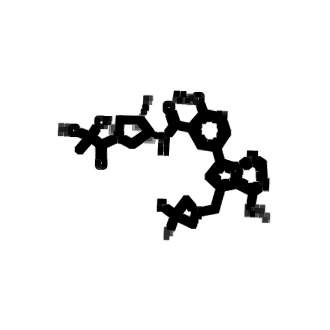 COc1ncc(-c2cc(CN3CC(F)(F)C3)c3c(N)ncnn23)cc1C(=O)N[C@@H]1CN(C(=O)C(C)(O)C(F)(F)F)C[C@@H]1F